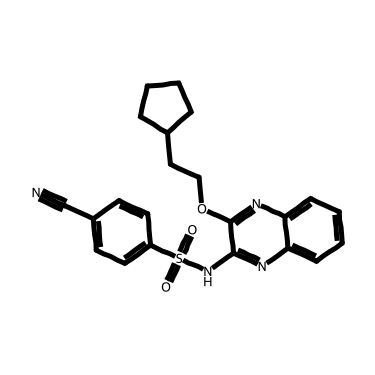 N#Cc1ccc(S(=O)(=O)Nc2nc3ccccc3nc2OCCC2CCCC2)cc1